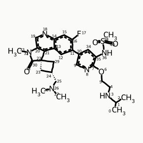 CC(C)NCCOc1ncc(-c2cc3c(cc2F)ncc2c3[C@]3(C[C@@H](CN(C)C)C3)C(=O)N2C)cc1NS(C)(=O)=O